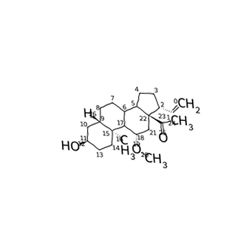 C=C[C@H]1CCC2C3CC[C@H]4C[C@H](O)CC[C@]4(C)C3[C@@H](OC)C[C@]21C(C)=O